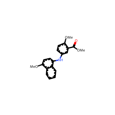 COC(=O)c1cc(Nc2ccc(OC)c3ccccc23)ccc1OC